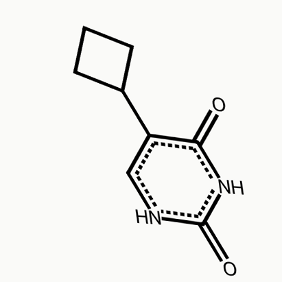 O=c1[nH]cc(C2CCC2)c(=O)[nH]1